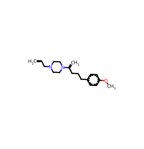 C=CCN1CCN(C(=C)CCCc2ccc(OC)cc2)CC1